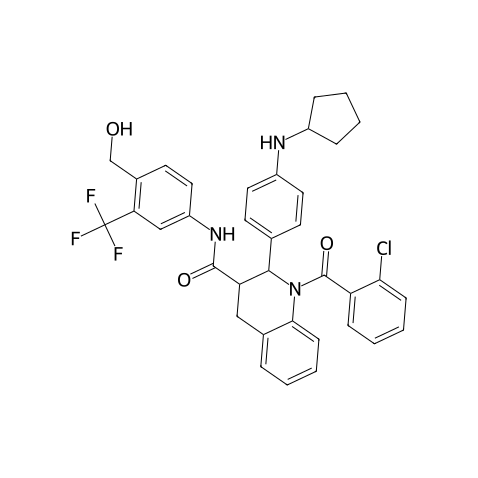 O=C(Nc1ccc(CO)c(C(F)(F)F)c1)C1Cc2ccccc2N(C(=O)c2ccccc2Cl)C1c1ccc(NC2CCCC2)cc1